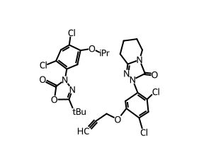 C#CCOc1cc(-n2nc3n(c2=O)CCCC3)c(Cl)cc1Cl.CC(C)Oc1cc(-n2nc(C(C)(C)C)oc2=O)c(Cl)cc1Cl